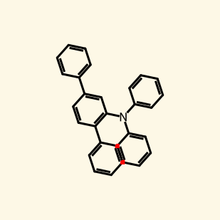 c1ccc(-c2ccc(-c3ccccc3)c(N(c3ccccc3)c3ccccc3)c2)cc1